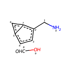 NCc1ccc2cc1-2.O=CO